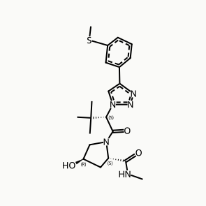 CNC(=O)[C@@H]1C[C@@H](O)CN1C(=O)[C@@H](n1cc(-c2cccc(SC)c2)nn1)C(C)(C)C